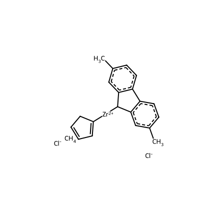 C.Cc1ccc2c(c1)[CH]([Zr+2][C]1=CC=CC1)c1cc(C)ccc1-2.[Cl-].[Cl-]